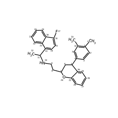 Cc1ccc(C2CC(CCNC(C)c3ccc(F)c4ccccc34)Oc3ccccc32)cc1C